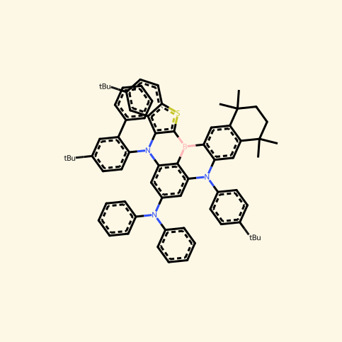 CC(C)(C)c1ccc(N2c3cc4c(cc3B3c5sc6ccc(C(C)(C)C)cc6c5N(c5ccc(C(C)(C)C)cc5-c5ccccc5)c5cc(N(c6ccccc6)c6ccccc6)cc2c53)C(C)(C)CCC4(C)C)cc1